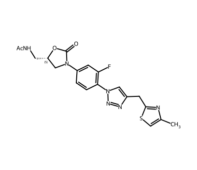 CC(=O)NC[C@H]1CN(c2ccc(-n3cc(Cc4nc(C)cs4)nn3)c(F)c2)C(=O)O1